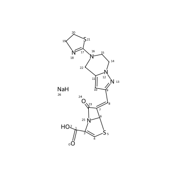 O=C(O)C1=CSC2C(=Cc3cc4n(n3)CCN(C3=NCCS3)C4)C(=O)N12.[NaH]